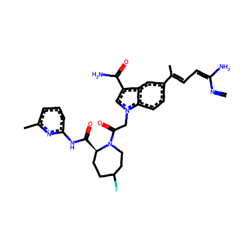 C=N/C(N)=C\C=C(/C)c1ccc2c(c1)c(C(N)=O)cn2CC(=O)N1CCC(F)CC[C@H]1C(=O)Nc1cccc(C)n1